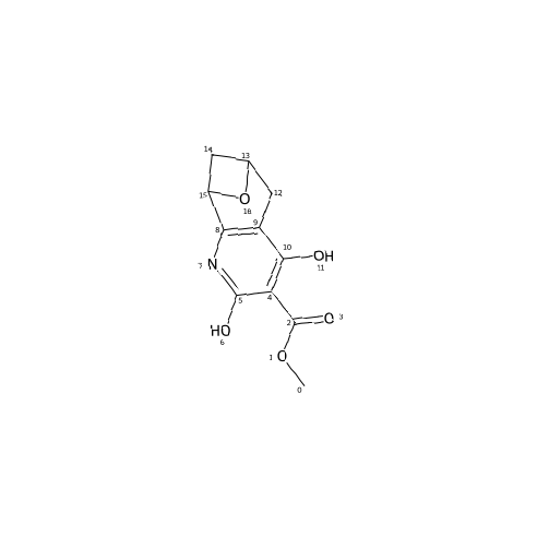 COC(=O)c1c(O)nc2c(c1O)CC1CC2O1